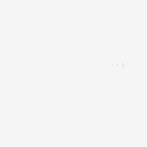 CC(C#CSc1ccc2c(c1)C(C)(C)CCC2(C)C)=CC(=O)O